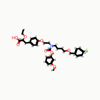 CCOC(Cc1ccc(OCCN(CCCCOCc2ccc(F)cc2)C(=O)Oc2cccc(OC)c2)cc1)C(=O)O